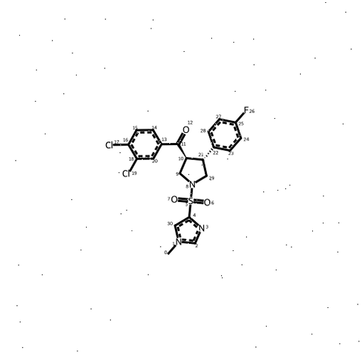 Cn1cnc(S(=O)(=O)N2C[C@@H](C(=O)c3ccc(Cl)c(Cl)c3)[C@H](c3ccc(F)cc3)C2)c1